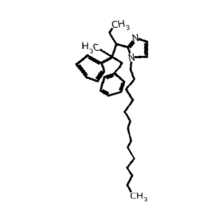 CCCCCCCCCCCCCCn1ccnc1C(CC)C(C)(Cc1ccccc1)c1ccccc1